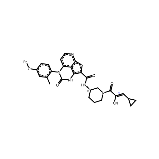 Cc1cc(OC(C)C)ccc1N1C(=O)Nc2c(C(=O)N[C@@H]3CCCN(C(=O)/C(C#N)=C/C4CC4)C3)sc3nccc1c23